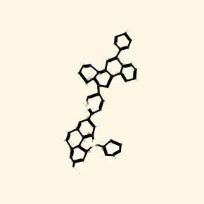 N#Cc1cc2ccc3cc(-c4ccc(-c5cc6c7ccccc7c(-c7ccccc7)cc6c6ccccc56)cn4)cc4c3c2c(c1)n4-c1ccccc1